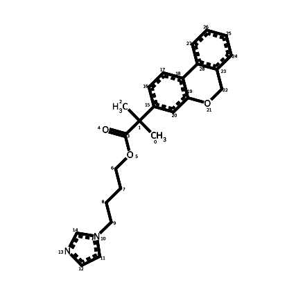 CC(C)(C(=O)OCCCCn1ccnc1)c1ccc2c(c1)OCc1ccccc1-2